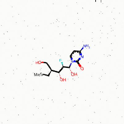 CSC[C@@H](CO)[C@@H](O)[C@@H](F)[C@@H](O)n1ccc(N)nc1=O